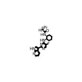 CCCNC(=O)N[C@@H]1CCCC[C@H]1Nc1nc(-c2c[nH]c3ncccc23)ncc1F